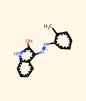 Cc1ccccc1/N=N/c1c(O)[nH]c2ccccc12